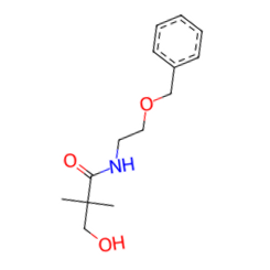 CC(C)(CO)C(=O)NCCOCc1ccccc1